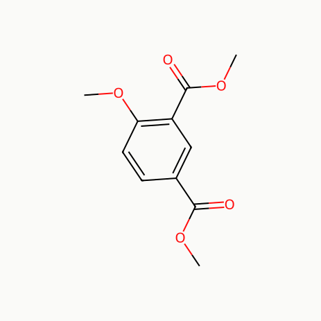 COC(=O)c1ccc(OC)c(C(=O)OC)c1